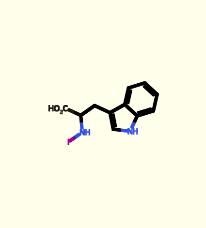 O=C(O)C(Cc1c[nH]c2ccccc12)NI